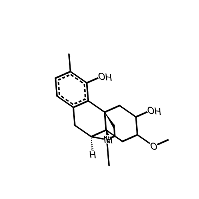 COC1C[C@@H]2[C@@H]3Cc4ccc(C)c(O)c4[C@]2(CCN3C)CC1O